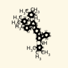 Cc1cc(Nc2ccc3c4cc5c(cc4n4c6ccccc6c2c34)c2ccc(N(c3cc(C)c(C)c(C)c3)c3cc(C)c(C)c(C)c3)c3c4ccccc4n5c23)cc(C)c1C